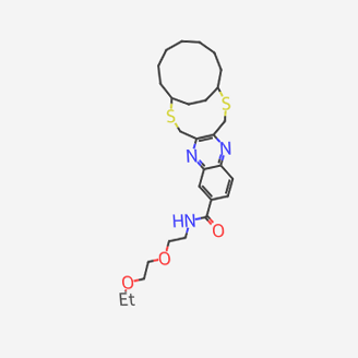 CCOCCOCCNC(=O)c1ccc2nc3c(nc2c1)CSC1CCCCCCCC(CC1)SC3